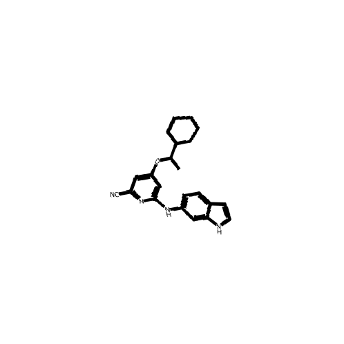 CC(Oc1cc(C#N)nc(Nc2ccc3cc[nH]c3c2)c1)C1CCCCC1